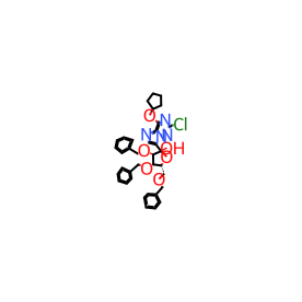 O[C@@]1(c2cnc3c(OC4CCCC4)nc(Cl)nn23)O[C@H](COCc2ccccc2)[C@@H](OCc2ccccc2)[C@H]1OCc1ccccc1